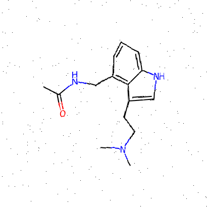 CC(=O)NCc1cccc2[nH]cc(CCN(C)C)c12